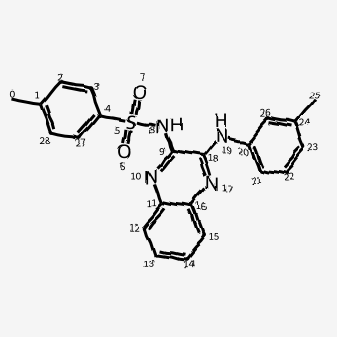 Cc1ccc(S(=O)(=O)Nc2nc3ccccc3nc2Nc2cccc(C)c2)cc1